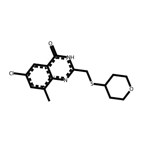 Cc1cc(Cl)cc2c(=O)[nH]c(CSC3CCOCC3)nc12